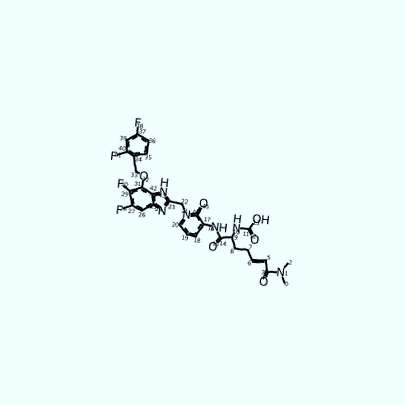 CN(C)C(=O)C=CCCC(NC(=O)O)C(=O)Nc1cccn(Cc2nc3cc(F)c(F)c(OCc4ccc(F)cc4F)c3[nH]2)c1=O